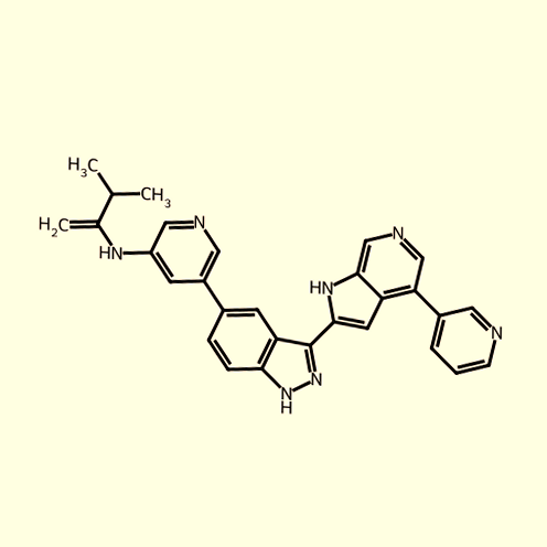 C=C(Nc1cncc(-c2ccc3[nH]nc(-c4cc5c(-c6cccnc6)cncc5[nH]4)c3c2)c1)C(C)C